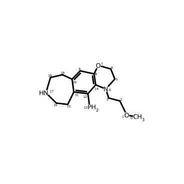 COCCN1CCOc2cc3c(c(P)c21)CCNCC3